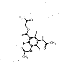 CC(=O)COC(=O)c1c(I)c(NC(C)=O)c(I)c(NC(C)=O)c1I